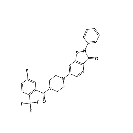 O=C(c1cc(F)ccc1C(F)(F)F)N1CCN(c2ccc3c(=O)n(-c4ccccc4)sc3c2)CC1